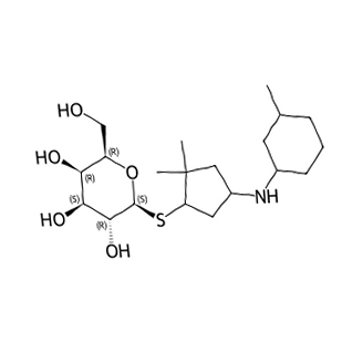 CC1CCCC(NC2CC(S[C@@H]3O[C@H](CO)[C@H](O)[C@H](O)[C@H]3O)C(C)(C)C2)C1